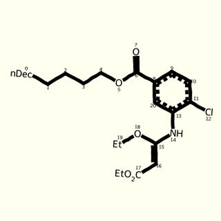 CCCCCCCCCCCCCCOC(=O)c1ccc(Cl)c(NC(=CC(=O)OCC)OCC)c1